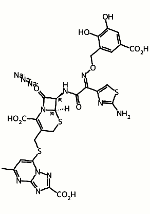 Cc1cc(SCC2=C(C(=O)O)N3C(=O)[C@@H](NC(=O)C(=NOCc4cc(C(=O)O)cc(O)c4O)c4csc(N)n4)[C@H]3SC2)n2nc(C(=O)O)nc2n1.[Na].[Na].[Na]